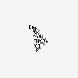 CCN1CCCN(CC(O)Cn2c3ccc(F)cc3c3cc(F)ccc32)S1